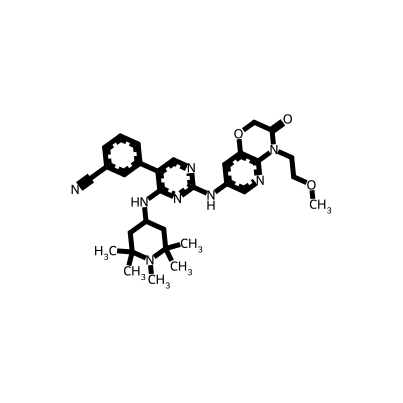 COCCN1C(=O)COc2cc(Nc3ncc(-c4cccc(C#N)c4)c(NC4CC(C)(C)N(C)C(C)(C)C4)n3)cnc21